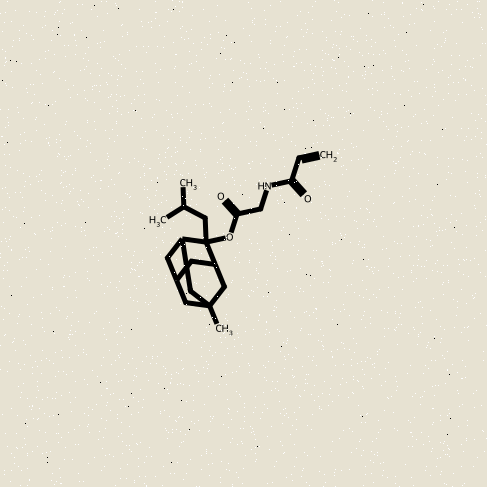 C=CC(=O)NCC(=O)OC1(CC(C)C)C2CC3CC1CC(C)(C3)C2